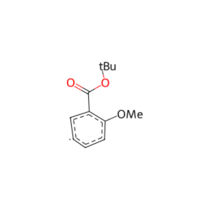 COc1cc[c]cc1C(=O)OC(C)(C)C